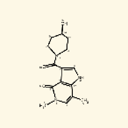 Cc1cn(C)c(=O)c2c(C(=O)N3CCC(O)CC3)c[nH]c12